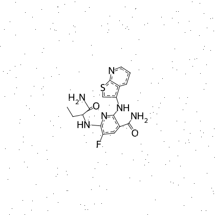 CCC(Nc1nc(Nc2csc3ncccc23)c(C(N)=O)cc1F)C(N)=O